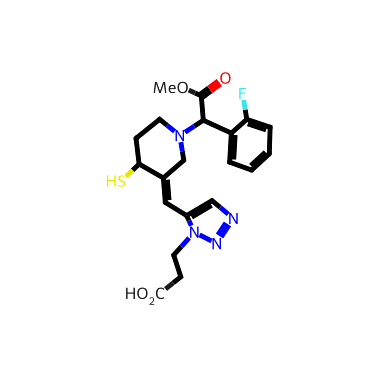 COC(=O)C(c1ccccc1F)N1CCC(S)/C(=C/c2cnnn2CCC(=O)O)C1